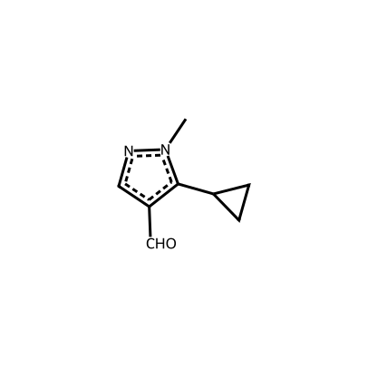 Cn1ncc(C=O)c1C1CC1